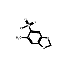 Cc1cc2c(cc1S(=O)(=O)Cl)OCO2